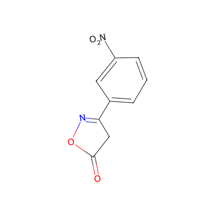 O=C1CC(c2cccc([N+](=O)[O-])c2)=NO1